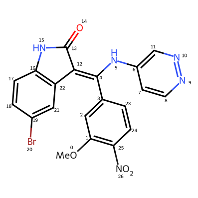 COc1cc(/C(Nc2ccnnc2)=C2/C(=O)Nc3ccc(Br)cc32)ccc1[N+](=O)[O-]